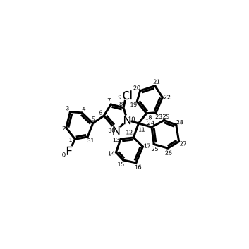 Fc1cccc(-c2cc(Cl)n(C(c3ccccc3)(c3ccccc3)c3ccccc3)n2)c1